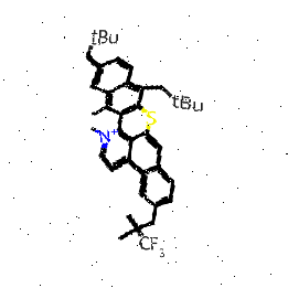 Cc1c2c(c(CC(C)(C)C)c3ccc(CC(C)(C)C)cc13)Sc1cc3ccc(CC(C)(C)C(F)(F)F)cc3c3cc[n+](C)c-2c13